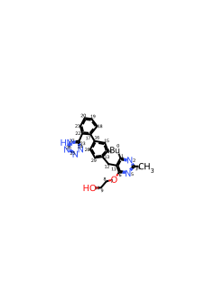 CCCCc1nc(C)nc(OCCO)c1Cc1ccc(-c2ccccc2-c2nnn[nH]2)cc1